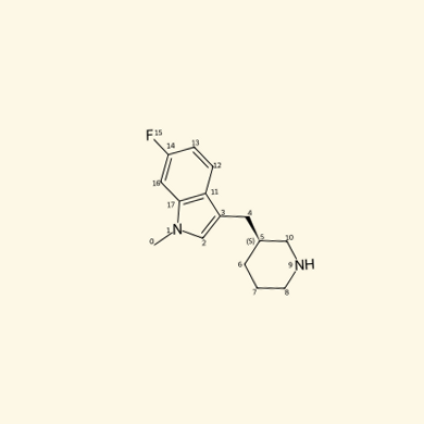 Cn1cc(C[C@@H]2CCCNC2)c2ccc(F)cc21